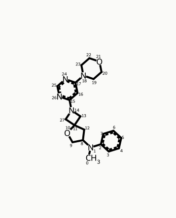 CN(c1ccccc1)C1COC2(C1)CN(c1cc(N3CCOCC3)ncn1)C2